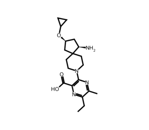 CCc1nc(C(=O)O)c(N2CCC3(CC2)C[C@@H](OC2CC2)C[C@H]3N)nc1C